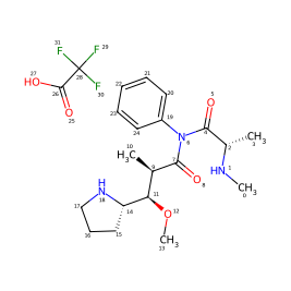 CN[C@@H](C)C(=O)N(C(=O)[C@H](C)[C@@H](OC)[C@@H]1CCCN1)c1ccccc1.O=C(O)C(F)(F)F